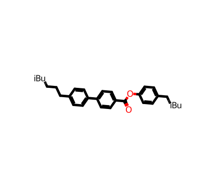 CCC(C)CCCc1ccc(-c2ccc(C(=O)Oc3ccc(CC(C)CC)cc3)cc2)cc1